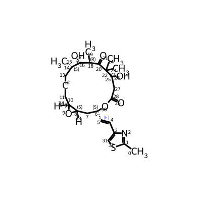 Cc1nc(/C=C/[C@@H]2C[C@@H]3O[C@@H]3CCC[C@H](C)[C@H](O)[C@@H](C)C(=O)C(C)(C)[C@@H](O)CC(=O)O2)cs1